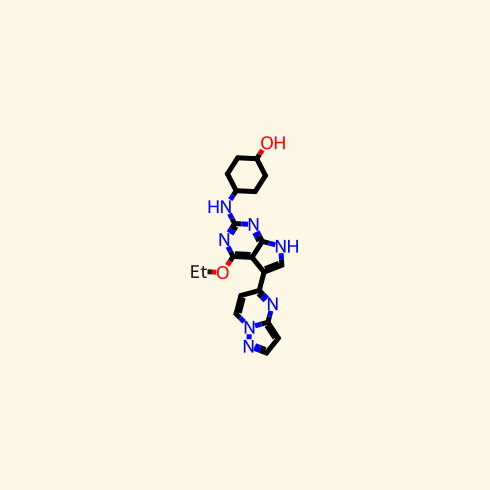 CCOc1nc(NC2CCC(O)CC2)nc2[nH]cc(-c3ccn4nccc4n3)c12